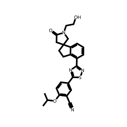 CC(C)Oc1ccc(-c2nc(-c3cccc4c3CCC43CC(=O)N(CCO)C3)ns2)cc1C#N